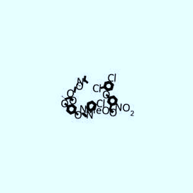 CC(C)=NOCCOC(=O)[C@@H](C)Oc1ccc(Oc2cnc3cc(Cl)ccc3n2)cc1.COC(=O)c1cc(Oc2ccc(Cl)cc2Cl)ccc1[N+](=O)[O-]